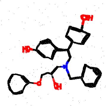 Oc1ccc(C(CN(Cc2ccccc2)C[C@H](O)COc2ccccc2)c2ccc(O)cc2)cc1